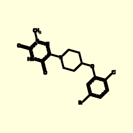 Cn1nc(N2CCC(Oc3cc(Br)ccc3Cl)CC2)c(=O)[nH]c1=O